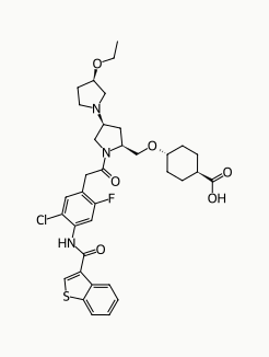 CCO[C@@H]1CCN([C@H]2C[C@@H](CO[C@H]3CC[C@H](C(=O)O)CC3)N(C(=O)Cc3cc(Cl)c(NC(=O)c4csc5ccccc45)cc3F)C2)C1